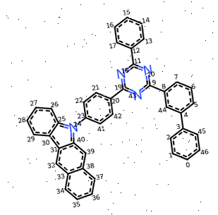 c1ccc(-c2cccc(-c3nc(-c4ccccc4)nc(-c4ccc(-n5c6ccccc6c6cc7ccccc7cc65)cc4)n3)c2)cc1